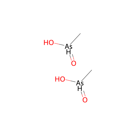 C[AsH](=O)O.C[AsH](=O)O